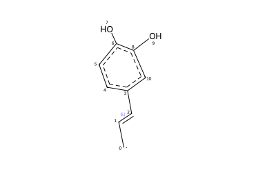 [CH2]/C=C/c1ccc(O)c(O)c1